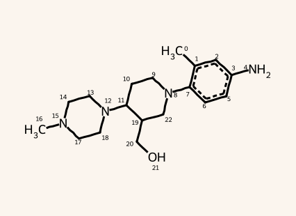 Cc1cc(N)ccc1N1CCC(N2CCN(C)CC2)C(CO)C1